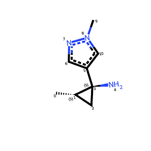 C[C@H]1C[C@@]1(N)c1cnn(C)c1